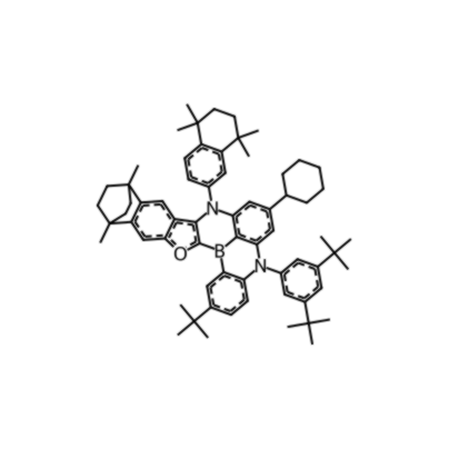 CC(C)(C)c1cc(N2c3ccc(C(C)(C)C)cc3B3c4oc5cc6c(cc5c4N(c4ccc5c(c4)C(C)(C)CCC5(C)C)c4cc(C5CCCCC5)cc2c43)C2(C)CCC6(C)CC2)cc(C(C)(C)C)c1